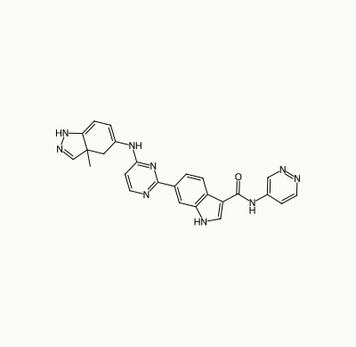 CC12C=NNC1=CC=C(Nc1ccnc(-c3ccc4c(C(=O)Nc5ccnnc5)c[nH]c4c3)n1)C2